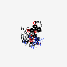 COc1ccc(C(OCC2CC(N3CNc4c3nc(NC(=O)C(C)C)[nH]c4=O)[C@H](OP(OCCC#N)N(C(C)C)C(C)C)C2)(c2ccccc2)c2ccc(OC)cc2)cc1